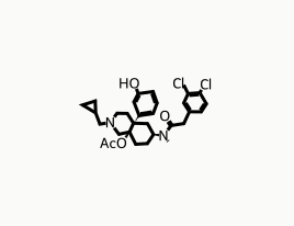 CC(=O)O[C@]12CC[C@H](N(C)C(=O)Cc3ccc(Cl)c(Cl)c3)C[C@]1(c1cccc(O)c1)CCN(CC1CC1)C2